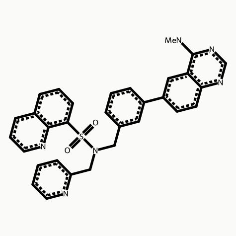 CNc1ncnc2ccc(-c3cccc(CN(Cc4ccccn4)S(=O)(=O)c4cccc5cccnc45)c3)cc12